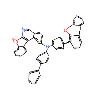 c1ccc(-c2ccc(N(c3ccc(-c4cccc5c4oc4ccccc45)cc3)c3ccc4cnc5oc6ccccc6c5c4c3)cc2)cc1